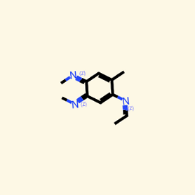 C/C=N\C1=CC(=N/C)/C(=N\C)C=C1C